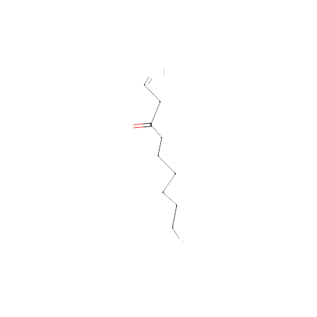 C=CCC(=O)CCCCCCC(C)=O